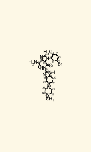 Cc1ccc(Br)cc1-n1cnc(C(N)=O)c1C(=O)Nc1nc2cc(N3CCN(C)CC3)ccc2[nH]1